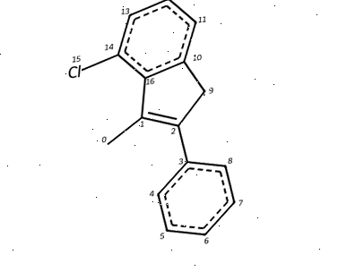 CC1=C(c2ccccc2)[CH]c2cccc(Cl)c21